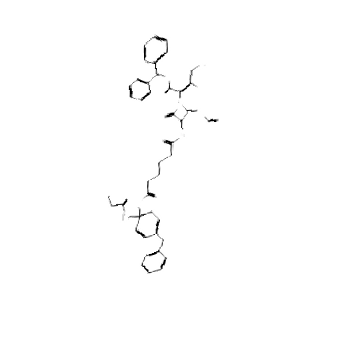 O=CSC1C(NC(=O)CCCCC(=O)OC2(NC(=O)CCl)C=CC(Cc3ccccc3)=CC2)C(=O)N1C(C(=O)OC(c1ccccc1)c1ccccc1)=C(O)CBr